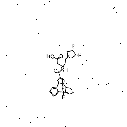 CC(F)(F)c1ccccc1-c1cc(C(=O)NC(CCN2C[C@@H](F)[C@@H](F)C2)CC(=O)O)nn1C1CCCC1